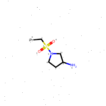 CC(C)CS(=O)(=O)N1CCC(N)C1